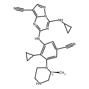 C[C@H]1CNCCN1c1cc(C#N)cc(Nc2nc(NC3CC3)n3ncc(C#N)c3n2)c1C1CC1